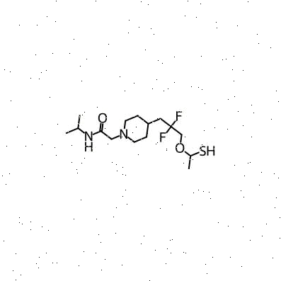 CC(C)NC(=O)CN1CCC(CC(F)(F)COC(C)S)CC1